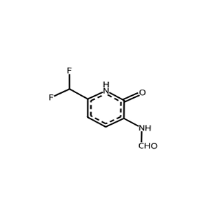 O=CNc1ccc(C(F)F)[nH]c1=O